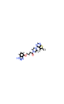 CCc1sc2ncnc(N3CCN(C(=O)CCCOc4cccc5[nH]nnc45)CC3)c2c1C